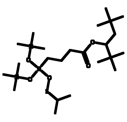 CC(C)SO[Si](CCCC(=O)OC(CC(C)(C)C)C(C)(C)C)(O[Si](C)(C)C)O[Si](C)(C)C